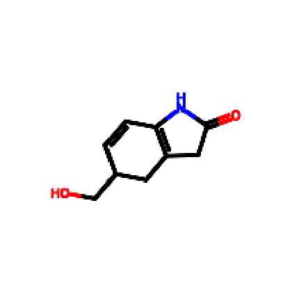 O=C1CC2=C(C=CC(CO)C2)N1